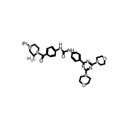 CC(C)N1CCN(C(=O)c2ccc(NC(=O)Nc3ccc(-c4nc(N5CCOCC5)nc(N5CCOCC5)n4)cc3)cc2)C(C)C1